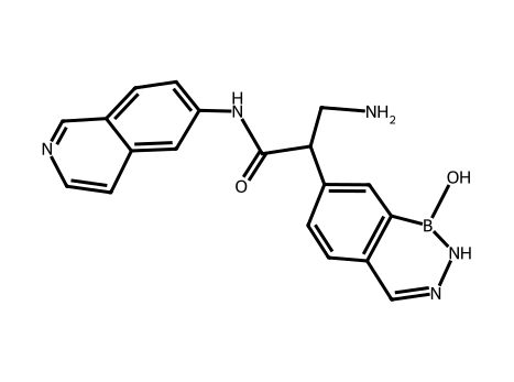 NCC(C(=O)Nc1ccc2cnccc2c1)c1ccc2c(c1)B(O)NN=C2